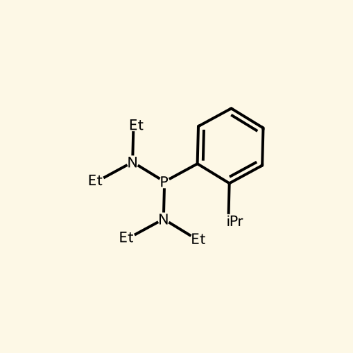 CCN(CC)P(c1ccccc1C(C)C)N(CC)CC